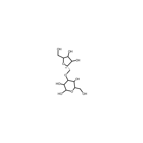 OCC1OC(O)C(O)C(OC[C@@H]2OC(CO)C(O)C2O)C1O